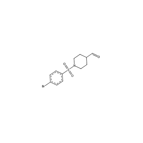 O=CC1CCN(S(=O)(=O)c2ccc(Br)cc2)CC1